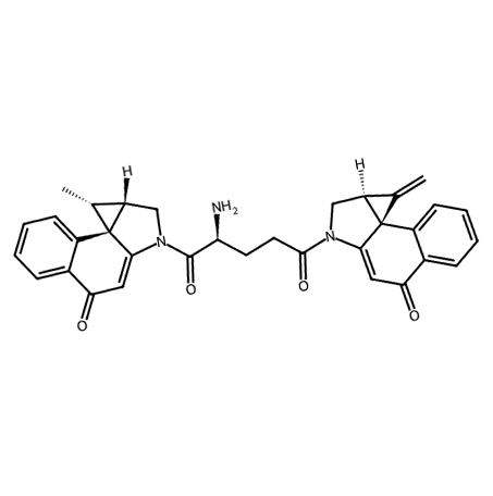 C=C1[C@@H]2CN(C(=O)CC[C@H](N)C(=O)N3C[C@H]4[C@@H](C)[C@@]45C3=CC(=O)c3ccccc35)C3=CC(=O)c4ccccc4[C@]132